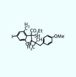 CCOC(=O)C(S)(C(=O)C(C)(C)Cc1ccc(OC)cc1)c1c(C)cc(I)cc1C